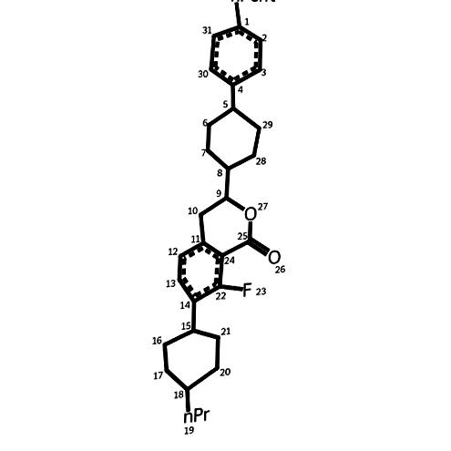 CCCCCc1ccc(C2CCC(C3Cc4ccc(C5CCC(CCC)CC5)c(F)c4C(=O)O3)CC2)cc1